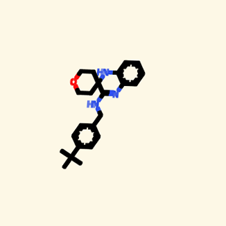 CC(C)(C)c1ccc(CNC2=Nc3ccccc3NC23CCOCC3)cc1